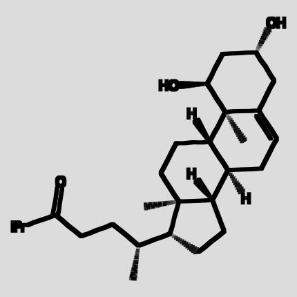 CC(C)C(=O)CC[C@@H](C)[C@H]1CC[C@H]2[C@@H]3CC=C4C[C@@H](O)C[C@H](O)[C@]4(C)[C@H]3CC[C@]12C